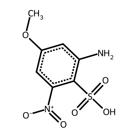 COc1cc(N)c(S(=O)(=O)O)c([N+](=O)[O-])c1